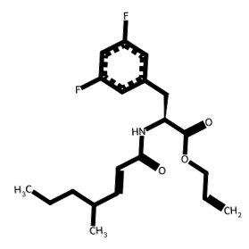 C=CCOC(=O)[C@H](Cc1cc(F)cc(F)c1)NC(=O)/C=C/C(C)CCC